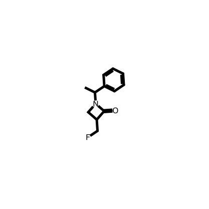 CC(c1ccccc1)N1CC(CF)C1=O